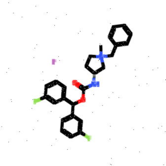 C[N+]1(Cc2ccccc2)CC[C@@H](NC(=O)OC(c2cccc(F)c2)c2cccc(F)c2)C1.[I-]